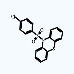 O=S(=O)(c1ccc(Cl)cc1)N1c2ccccc2Sc2ccccc21